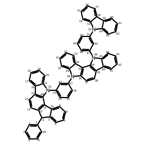 c1ccc(C2c3ccccc3-c3c2ccc2c4ccccc4n(-c4cccc(-n5c6ccccc6c6c5ccc5c7ccccc7n(-c7cccc(-n8c9ccccc9c9ccccc98)c7)c56)c4)c32)cc1